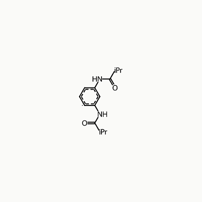 CC(C)C(=O)Nc1[c]ccc(NC(=O)C(C)C)c1